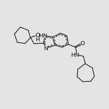 O=C(NCC1CCCCCC1)c1ccc2[nH]c(CC3(O)CCCCC3)nc2c1